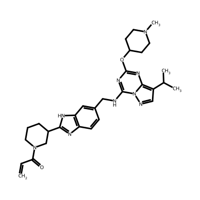 C=CC(=O)N1CCCC(c2nc3ccc(CNc4nc(OC5CCN(C)CC5)nc5c(C(C)C)cnn45)cc3[nH]2)C1